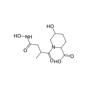 CC(CC(=O)NO)C(=O)N1CC(O)CCC1C(=O)O